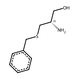 N[C@@H](CO)CSCc1ccccc1